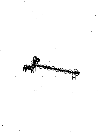 COc1ccccc1N(C)S(=O)(=O)c1cc(-c2cnc(C(F)(F)F)cc2C#N)c(Cl)cc1OCCOCCOCCOCCOCCOCCOCCOCCOCCNC(=O)OC(C)(C)C